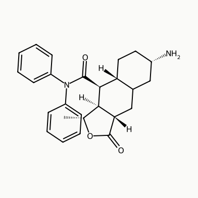 C[C@H]1OC(=O)[C@H]2CC3C[C@@H](N)CC[C@H]3[C@H](C(=O)N(c3ccccc3)c3ccccc3)[C@@H]21